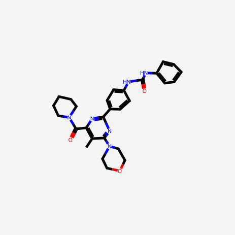 Cc1c(C(=O)N2CCCCC2)nc(-c2ccc(NC(=O)Nc3ccccc3)cc2)nc1N1CCOCC1